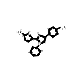 Cc1ccc(-c2cn(-c3ccccc3)c(-c3ccc(C)s3)n2)cc1